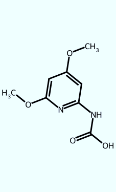 COc1cc(NC(=O)O)nc(OC)c1